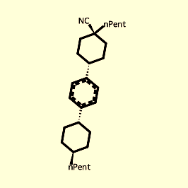 CCCCC[C@H]1CC[C@H](c2ccc([C@H]3CC[C@@](C#N)(CCCCC)CC3)cc2)CC1